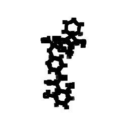 CC(C)(C)[C@](Cc1ccc(NC(=O)c2c(Cl)cncc2Cl)cc1)(NC1=C(Br)C(=O)C12CCCCC2)C(=O)O